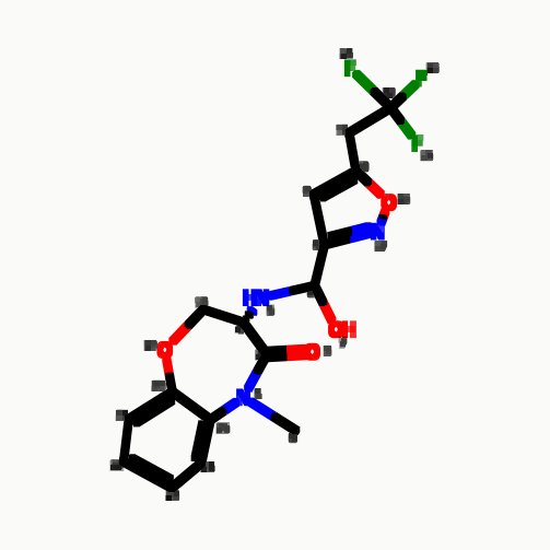 CN1C(=O)[C@@H](NC(O)c2cc(CC(F)(F)F)on2)COc2ccccc21